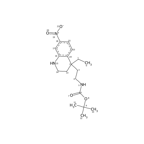 CCC1(CCNC(=O)OC(C)(C)C)CCNc2cc([N+](=O)[O-])ccc21